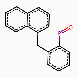 O=Pc1ccccc1Cc1cccc2ccccc12